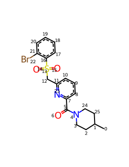 CC1CCN(C(=O)c2cccc(CS(=O)(=O)c3ccccc3Br)n2)CC1